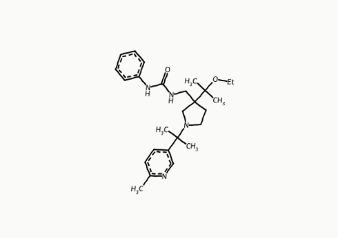 CCOC(C)(C)C1(CNC(=O)Nc2ccccc2)CCN(C(C)(C)c2ccc(C)nc2)C1